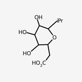 CC(C)C1OC(CC(=O)O)C(O)C(O)C1O